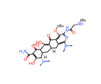 CCCCOc1c(NC(=O)CNC(C)(C)C)nc(N(C)C)c2c1C(=O)C1=C(O)[C@]3(O)C(=O)C(C(N)=O)=C(O)[C@@H](N(C)C)[C@@H]3C[C@@H]1C2